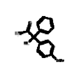 COc1ccc(C(O)(C(N)=O)c2ccccc2)cc1